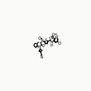 COc1ncc(Cl)cc1N[C@H](C)c1ccc(N(C=O)[C@@H](CC2CCCC2)C(=O)NC23CC(C#N)(C2)C3)s1